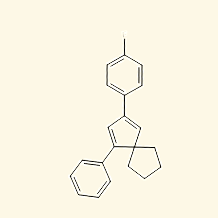 Fc1ccc(C2=CC3(CCCC3)C(c3ccccc3)=C2)cc1